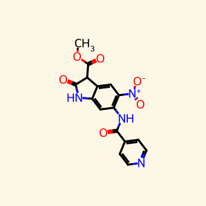 COC(=O)C1C(=O)Nc2cc(NC(=O)c3ccncc3)c([N+](=O)[O-])cc21